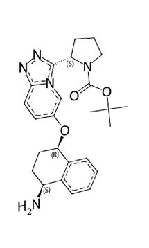 CC(C)(C)OC(=O)N1CCC[C@H]1c1nnc2ccc(O[C@@H]3CC[C@H](N)c4ccccc43)cn12